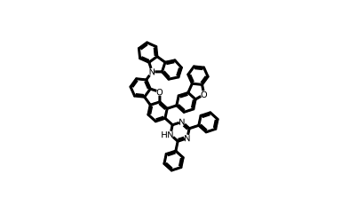 c1ccc(C2=NC(c3ccc4c(oc5c(-n6c7ccccc7c7ccccc76)cccc54)c3-c3ccc4oc5ccccc5c4c3)NC(c3ccccc3)=N2)cc1